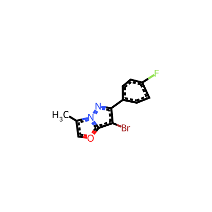 Cc1coc2c(Br)c(-c3ccc(F)cc3)nn12